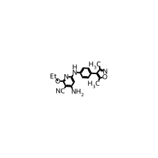 CCOc1nc(Nc2ccc(-c3c(C)noc3C)cc2)cc(N)c1C#N